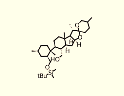 CC1CC[C@@]2(OC1)O[C@H]1C[C@H]3[C@H](CO)[C@@H]([C@@]4(C)CC[C@H](C)C[C@@H]4CO[Si](C)(C)C(C)(C)C)CC[C@]3(C)[C@H]1[C@@H]2C